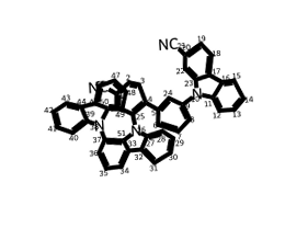 N#Cc1ccc(-c2cccc(-n3c4ccccc4c4ccc(C#N)cc43)c2)c(-n2c3ccccc3c3cccc(-n4c5ccccc5c5ccccc54)c32)c1